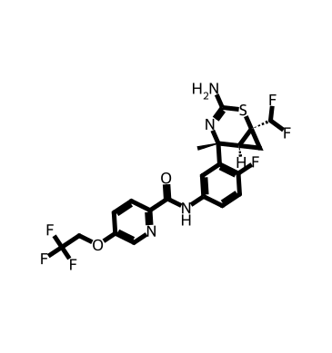 C[C@@]1(c2cc(NC(=O)c3ccc(OCC(F)(F)F)cn3)ccc2F)N=C(N)S[C@@]2(C(F)F)C[C@@H]12